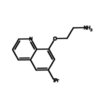 CC(C)c1cc(OCCN)c2ncccc2c1